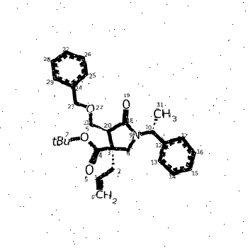 C=CC[C@@]1(C(=O)OC(C)(C)C)CN([C@H](C)c2ccccc2)C(=O)[C@@H]1COCc1ccccc1